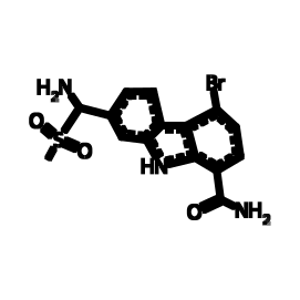 CS(=O)(=O)C(N)c1ccc2c(c1)[nH]c1c(C(N)=O)ccc(Br)c12